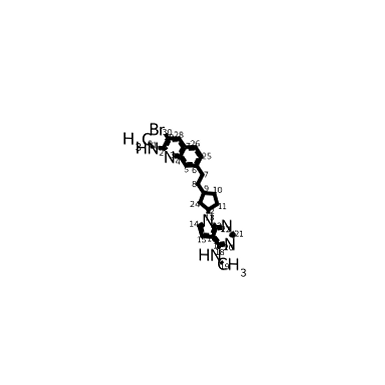 CNc1nc2cc(CCC3CCC(n4ccc5c(NC)ncnc54)C3)ccc2cc1Br